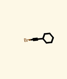 BrC#CC1CCCCC1